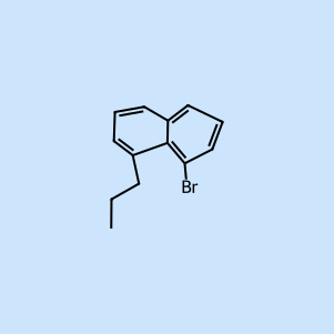 CCCc1cccc2cccc(Br)c12